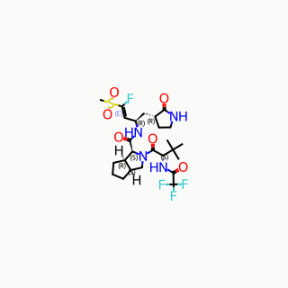 CC(C)(C)[C@H](NC(=O)C(F)(F)F)C(=O)N1C[C@H]2CCC[C@H]2[C@H]1C(=O)N[C@@H](/C=C(\F)S(C)(=O)=O)C[C@H]1CCNC1=O